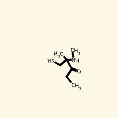 CCC(=O)C(C)(CS)NC